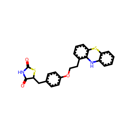 O=C1NC(=O)C(Cc2ccc(OCCc3cccc4c3Nc3ccccc3S4)cc2)S1